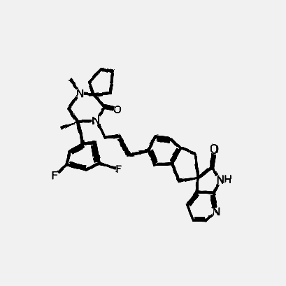 CN1C[C@@](C)(c2cc(F)cc(F)c2)N(C/C=C/c2ccc3c(c2)C[C@@]2(C3)C(=O)Nc3ncccc32)C(=O)C12CCCC2